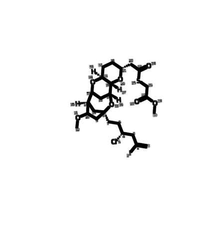 C=C(I)C[C@H](Cl)CC[C@]12CC(OC)[C@H](C1)C1C[C@@H](O2)[C@H]2O[C@@H](CC(=O)SCC(=O)OC)CC[C@@H]2O1